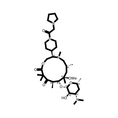 CO[C@]1(C)C[C@@H](C)CN(C)[C@H](C2CCN(C(=O)CN3CCCC3)CC2)COC(=O)C(C)(C)C(=O)[C@H](C)[C@H]1O[C@@H]1O[C@H](C)C[C@H](N(C)C)[C@H]1O